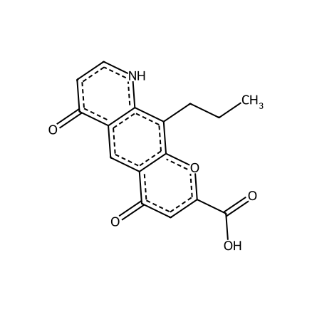 CCCc1c2[nH]ccc(=O)c2cc2c(=O)cc(C(=O)O)oc12